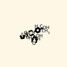 CC(C)(O)c1ccc(N2CCN(S(=O)(=O)c3cccs3)C[C@@H]2CN2[C@@H]3COC[C@H]2[C@H](O)C3)cc1